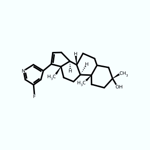 C[C@@]1(O)CC[C@@]2(C)C(CC[C@@H]3[C@@H]2CC[C@]2(C)C(c4cncc(F)c4)=CC[C@@H]32)C1